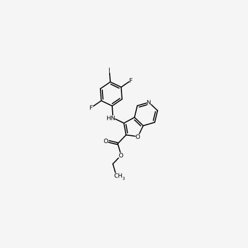 CCOC(=O)c1oc2ccncc2c1Nc1cc(F)c(I)cc1F